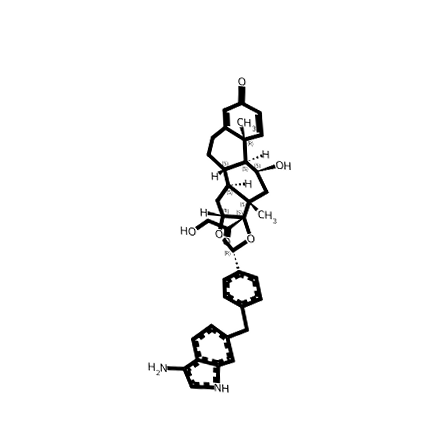 C[C@]12C=CC(=O)C=C1CC[C@@H]1[C@@H]2[C@@H](O)C[C@@]2(C)[C@H]1C[C@H]1O[C@@H](c3ccc(Cc4ccc5c(N)c[nH]c5c4)cc3)O[C@]12C(=O)CO